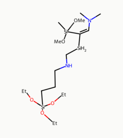 CCO[Si](CCCNC[SiH2]C(=CN(C)C)[Si](C)(OC)OC)(OCC)OCC